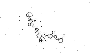 O=C(/C=C/c1ccc(-c2ccc3ncnc(Nc4ccc(OCc5cccc(F)c5)c(Cl)c4)c3c2)s1)NOC1CCCCO1